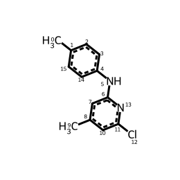 Cc1ccc(Nc2cc(C)cc(Cl)n2)cc1